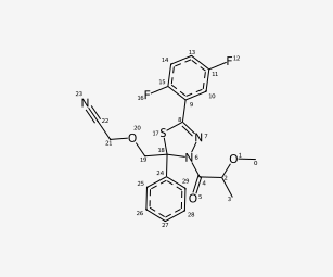 COC(C)C(=O)N1N=C(c2cc(F)ccc2F)SC1(COCC#N)c1ccccc1